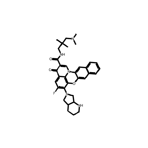 CN(C)CC(C)(C)CNC(=O)c1cn2c3c(c(N4CC5CCCNC5C4)c(F)cc3c1=O)Oc1cc3ccccc3cc1-2